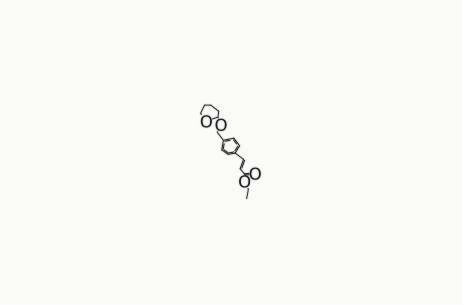 CCOC(=O)/C=C/c1ccc(COC2CCCCO2)cc1